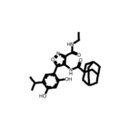 CCNC(=O)c1noc(-c2cc(C(C)C)c(O)cc2O)c1NC(=O)C12CC3CC(CC(C3)C1)C2